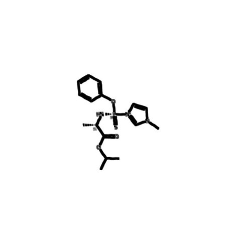 CC(C)OC(=O)[C@H](C)N[P@](=S)(Oc1ccccc1)[n+]1ccn(C)c1